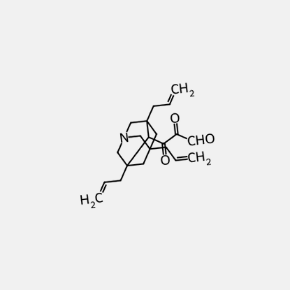 C=CCC12CN3CC(CC=C)(C1)C(C(=O)C(=O)C=O)C(CC=C)(C3)C2